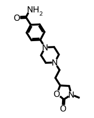 CN1CC(CCN2CCN(c3ccc(C(N)=O)cc3)CC2)OC1=O